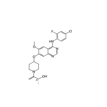 C=C([C@@H](C)O)N1CCC(Oc2cc3ncnc(Nc4ccc(Cl)cc4F)c3cc2OC)CC1